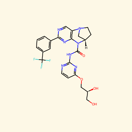 O=C(Nc1nccc(OC[C@@H](O)CO)n1)N1c2nc(-c3cccc(C(F)(F)F)c3)ncc2N2CC[C@H]1C2